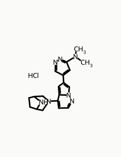 CN(C)c1cc(-c2cc3c(N4CC5CCC(C4)N5)ccnn3c2)cnn1.Cl